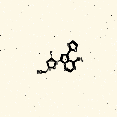 Nc1ncnn2c([C@@H]3O[C@H](CO)C[C@@H]3F)cc(-c3ncco3)c12